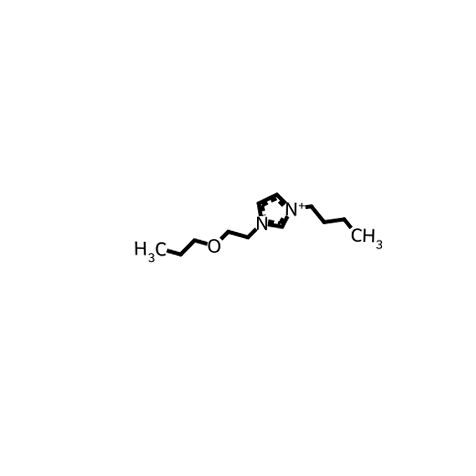 CCCC[n+]1ccn(CCOCCC)c1